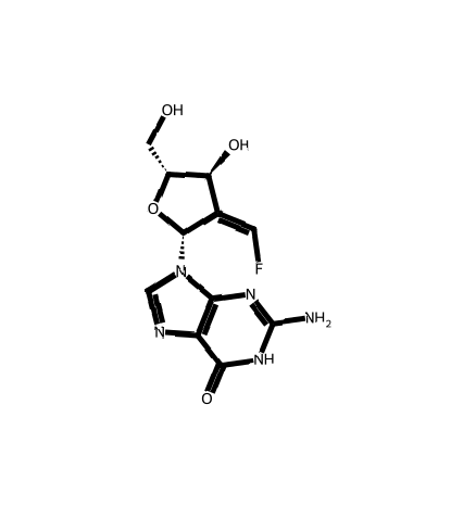 Nc1nc2c(ncn2[C@@H]2O[C@H](CO)[C@@H](O)/C2=C/F)c(=O)[nH]1